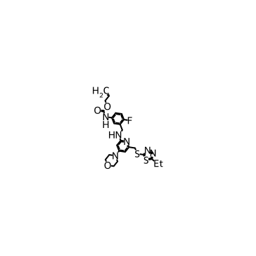 C=CCOC(=O)Nc1ccc(F)c(CNc2cc(N3CCOCC3)cc(CSc3nnc(CC)s3)n2)c1